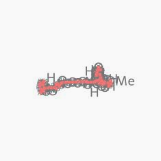 COc1cccc2c1C(=O)c1c(O)c3c(c(O)c1C2=O)C[C@@](O)(C(=O)NCCNC(=O)CCOCCOCCOCCOCCC(=O)N1CCC2(CCC(C(=O)NCCC(=O)N4Cc5ccccc5/C=C\c5ccccc54)CC2)CC1)C[C@@H]3O[C@H]1C[C@H]2[C@H](O[C@@H]3COCCN32)[C@H](C)O1